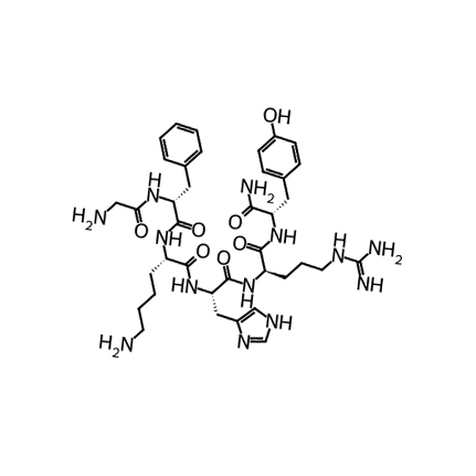 N=C(N)NCCC[C@@H](NC(=O)[C@H](Cc1c[nH]cn1)NC(=O)[C@H](CCCCN)NC(=O)[C@@H](Cc1ccccc1)NC(=O)CN)C(=O)N[C@@H](Cc1ccc(O)cc1)C(N)=O